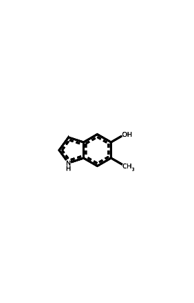 Cc1cc2[nH]c[c]c2cc1O